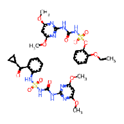 CCOc1ccccc1OS(=O)(=O)NC(=O)Nc1nc(OC)cc(OC)n1.COc1cc(OC)nc(NC(=O)NS(=O)(=O)Nc2ccccc2C(=O)C2CC2)n1